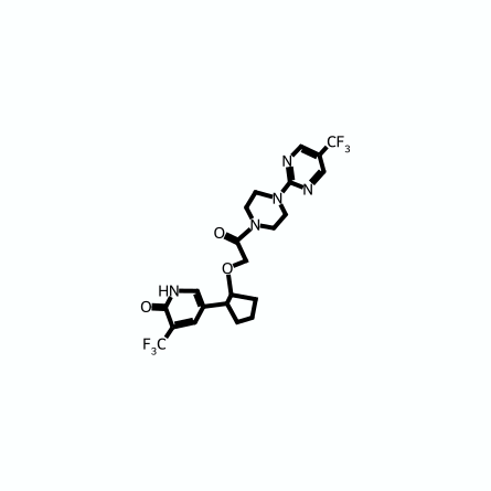 O=C(COC1CCCC1c1c[nH]c(=O)c(C(F)(F)F)c1)N1CCN(c2ncc(C(F)(F)F)cn2)CC1